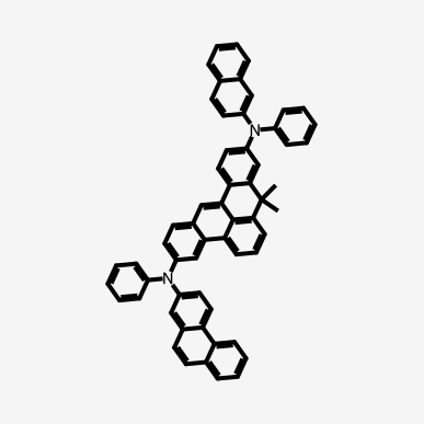 CC1(C)c2cc(N(c3ccccc3)c3ccc4ccccc4c3)ccc2-c2cc3ccc(N(c4ccccc4)c4ccc5c(ccc6ccccc65)c4)cc3c3cccc1c23